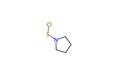 ClSN1CCCC1